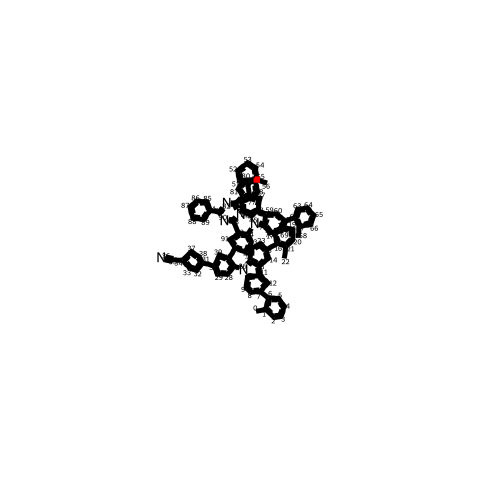 Cc1ccccc1-c1ccc2c(c1)c1cc(-c3ccccc3C)ccc1n2-c1ccc(-c2ccc(C#N)cc2)cc1-c1ccc(-n2c3ccc(-c4ccccc4C)cc3c3cc(-c4ccccc4C)ccc32)c(-c2nc(-c3ccccc3)nc(-c3ccccc3)n2)c1